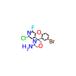 NC1=NC2(COC1)c1cc(Br)ccc1Oc1c2cc(Cl)nc1F